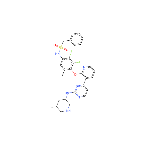 Cc1cc(NS(=O)(=O)Cc2ccccc2)c(F)c(F)c1Oc1ncccc1-c1ccnc(NC2CNC[C@H](C)C2)n1